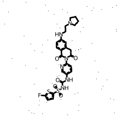 O=C(Nc1ccc(N2C(=O)Cc3cc(NCCN4CCCC4)ccc3C2=O)nc1)NS(=O)(=O)c1ccc(F)s1